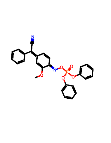 COC1=CC(=C(/C#N)c2ccccc2)/C=CC/1=N\OP(=O)(Oc1ccccc1)Oc1ccccc1